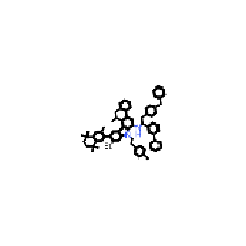 CCc1cc2c(cc1-c1cc3c(cc1C)C(C)(C)CCC3(C)C)c1c3c(cc(NC(Cc4ccc(Cc5ccccc5)cc4)c4cccc(-c5ccccc5)c4)c1n2CCc1ccc(C)cc1)-c1ccccc1CC3C